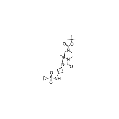 CC(C)(C)OC(=O)N1CCN2C(=O)N(C34CC(NS(=O)(=O)C5CC5)(C3)C4)C[C@@H]2C1